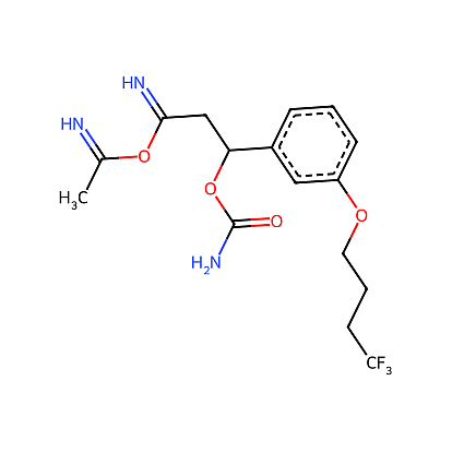 CC(=N)OC(=N)CC(OC(N)=O)c1cccc(OCCCC(F)(F)F)c1